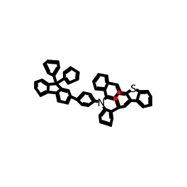 c1ccc(C2(c3ccccc3)c3ccccc3-c3ccc(-c4ccc(N(c5ccccc5-c5ccc6sc7ccccc7c6c5)c5cccc6ccccc56)cc4)cc32)cc1